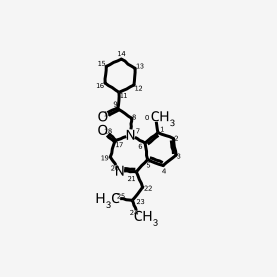 Cc1cccc2c1N(CC(=O)C1CCCCC1)C(=O)CN=C2CC(C)C